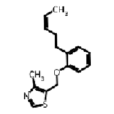 C/C=C\CCc1ccccc1OCc1scnc1C